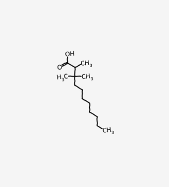 CCCCCCCCC(C)(C)C(C)C(=O)O